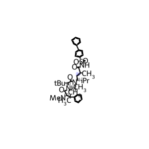 CN[C@H](C(=O)N[C@H](C(=O)N(C)[C@H](/C=C(\C)C(=O)NS(=O)(=O)c1ccc(-c2ccccc2)cc1)C(C)C)C(C)(C)C)C(C)(C)c1ccccc1